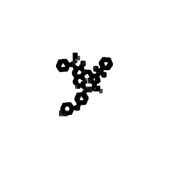 CN(c1ccccc1)c1cc2cnc(Nc3ccc(OC4CCCNC4)cc3)nc2n(Cc2nn(C)cc2S(=O)(=O)c2ccccc2)c1=O